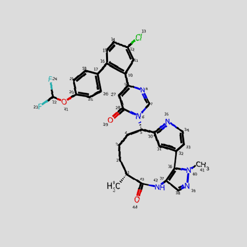 C[C@@H]1CCC[C@H](n2cnc(-c3cc(Cl)ccc3-c3ccc(OC(F)F)cc3)cc2=O)c2cc(ccn2)-c2c(cnn2C)NC1=O